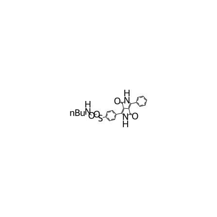 CCCCNOOSc1ccc(C2=C3C(=O)NC(c4ccccc4)=C3C(=O)N2)cc1